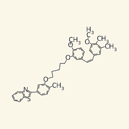 COc1ccc(/C=C\c2cc(C)c(C)c(OC)c2)cc1OCCCCCOc1cc(-c2nc3ccccc3s2)ccc1C